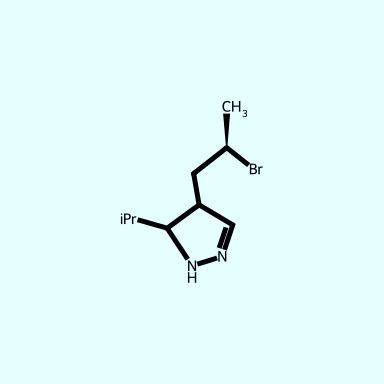 CC(C)C1NN=CC1C[C@@H](C)Br